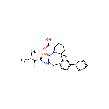 CC(C)C(=S)C(=O)N[C@H]1Cc2ccc(-c3ccccc3)cc2[C@H]2CCC[C@@H](C(=O)O)N2C1=O